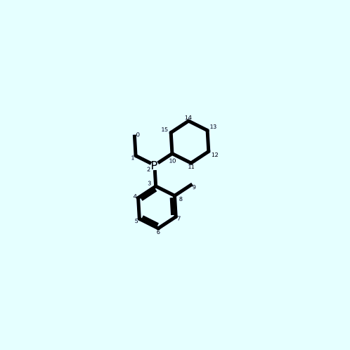 CCP(c1ccccc1C)C1CCCCC1